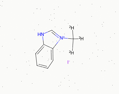 [2H]C([2H])([2H])[n+]1c[nH]c2ccccc21.[I-]